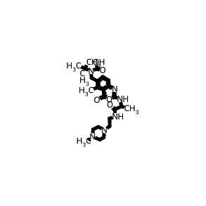 Cc1c(CN(C(=O)O)C(C)(C)C)ccc2nc(NC(C)C(=O)NCCN3CCN(C)CC3)oc(=O)c12